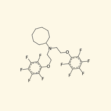 Fc1c(F)c(F)c(OCCN(CCOc2c(F)c(F)c(F)c(F)c2F)C2CCCCCCC2)c(F)c1F